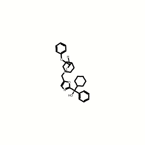 O[C@@](c1ccccc1)(c1ncc(C[N+]23CCC(CC2)[C@@H](Oc2ccccc2)C3)o1)C1CCCCC1